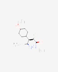 CCCOC1CCC(c2c(SC)nn(C(C)(C)C)c(=O)c2Cl)CC1